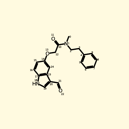 CN(CCc1ccccc1)C(=O)COc1ccc2[nH]cc(C=O)c2c1